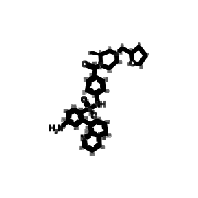 C[C@H]1CN(CC2CCCO2)CCN1C(=O)c1ccc(NS(=O)(=O)c2ccc(N)cc2-c2cccc3cccnc23)cc1